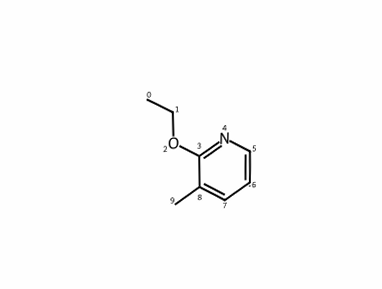 CCOc1nc[c]cc1C